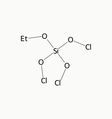 CCO[Si](OCl)(OCl)OCl